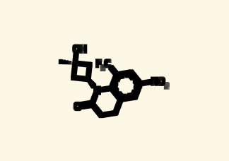 C[C@]1(O)C[C@@H](N2C(=O)CCc3cc([N+](=O)[O-])cc(C(F)(F)F)c32)C1